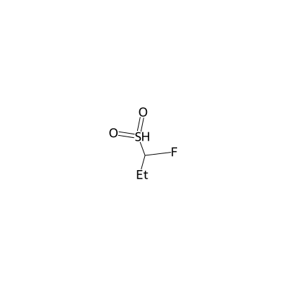 [CH2]CC(F)[SH](=O)=O